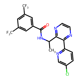 CC(NC(=O)c1cc(C(F)(F)F)cc(C(F)(F)F)c1)c1nccnc1-c1ccc(Cl)cn1